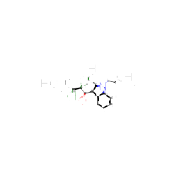 C=CCn1c(C)c(C(=O)C(Cl)=C(Cl)C(=O)O)c2ccccc21